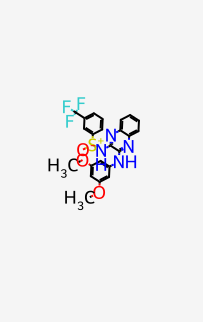 COc1cc(Nc2nc3ccccc3nc2N[S+]([O-])c2cccc(C(F)(F)F)c2)cc(OC)c1